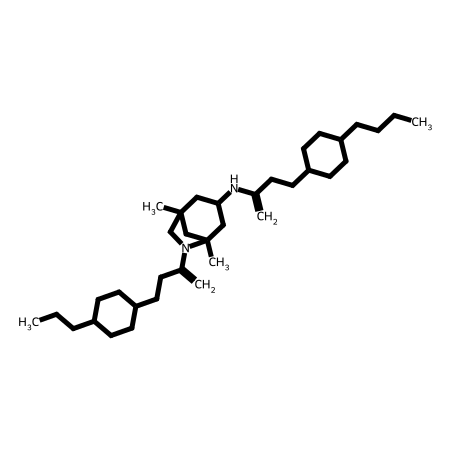 C=C(CCC1CCC(CCCC)CC1)NC1CC2(C)CN(C(=C)CCC3CCC(CCC)CC3)C(C)(C1)C2